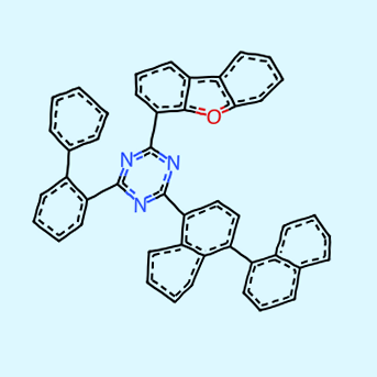 c1ccc(-c2ccccc2-c2nc(-c3ccc(-c4cccc5ccccc45)c4ccccc34)nc(-c3cccc4c3oc3ccccc34)n2)cc1